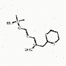 CC(C)(C)[Si](C)(C)OCOC[C@H](C=O)CC1SCCCS1